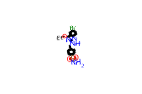 CCOc1nc(NCc2ccc(S(N)(=O)=O)cc2)nc2ccc(Br)cc12